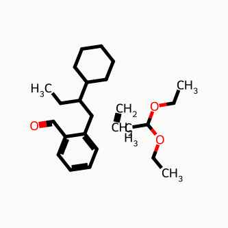 C=C.CCC(Cc1ccccc1C=O)C1CCCCC1.CCOC(C)OCC